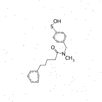 CN(Cc1ccc(SO)cc1)C(=O)CCCCc1ccccc1